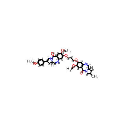 COc1ccc(C2=CN3C(=O)c4cc(OC)c(OCCCOc5cc6c(cc5OC)C(=O)N5C=C(C)C[C@@H]5C=N6)cc4N=C[C@H]3C2)cc1